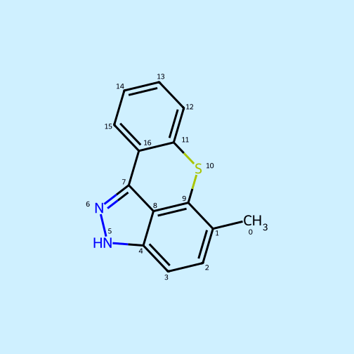 Cc1ccc2[nH]nc3c2c1Sc1ccccc1-3